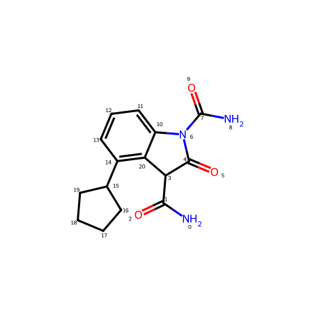 NC(=O)C1C(=O)N(C(N)=O)c2cccc(C3CCCC3)c21